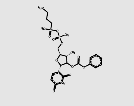 NCCCP(=O)(O)OP(=O)(O)OC[C@H]1O[C@@H](n2ccc(=O)[nH]c2=O)C(OC(=O)Oc2ccccc2)[C@H]1O